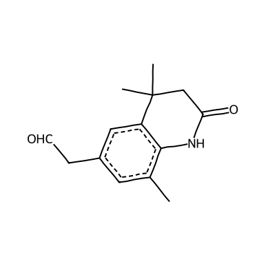 Cc1cc(CC=O)cc2c1NC(=O)CC2(C)C